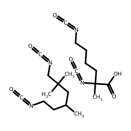 CC(CCCCN=C=O)(N=C=O)C(=O)O.CC(CCN=C=O)CC(C)(C)CN=C=O